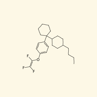 CCCCC1CCC(C2(c3ccc(OC(F)=C(F)F)cc3)CCCCC2)CC1